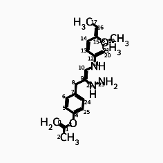 C=C(C)Oc1ccc(C/C(=C/NC(/C=C\C(=C/C)OC)=C/C)NN)cc1